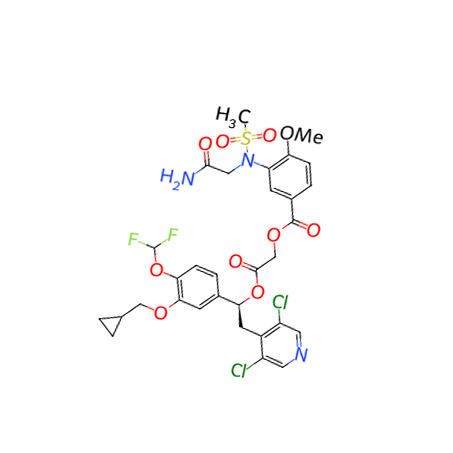 COc1ccc(C(=O)OCC(=O)O[C@@H](Cc2c(Cl)cncc2Cl)c2ccc(OC(F)F)c(OCC3CC3)c2)cc1N(CC(N)=O)S(C)(=O)=O